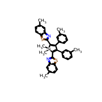 Cc1cccc(C2=C(c3nc4cc(C)ccc4s3)[Si](C)(C)C(c3nc4cc(C)ccc4s3)=C2c2cccc(C)c2)c1